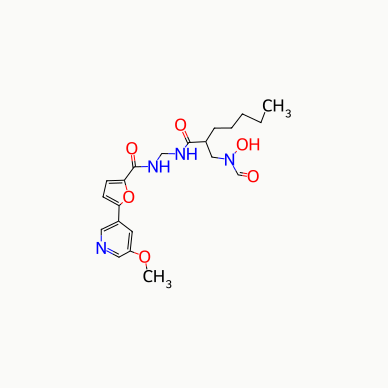 CCCCCC(CN(O)C=O)C(=O)NCNC(=O)c1ccc(-c2cncc(OC)c2)o1